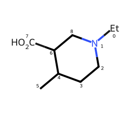 CCN1CCC(C)C(C(=O)O)C1